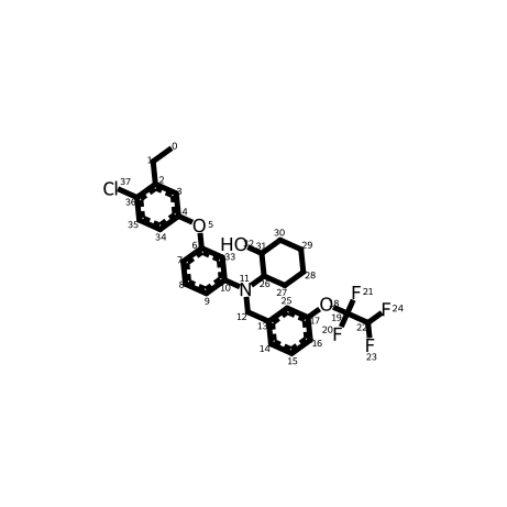 CCc1cc(Oc2cccc(N(Cc3cccc(OC(F)(F)C(F)F)c3)C3CCCCC3O)c2)ccc1Cl